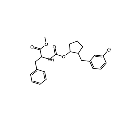 COC(=O)C(Cc1ccccc1)NC(=O)OC1CCCC1Cc1cccc(Cl)c1